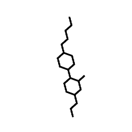 CCCCCC1CCC(C2CCC(CCC)CC2C)CC1